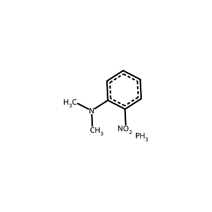 CN(C)c1ccccc1[N+](=O)[O-].P